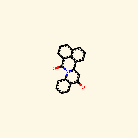 O=c1cc2c3cccc4cccc(c(=O)n2c2ccccc12)c43